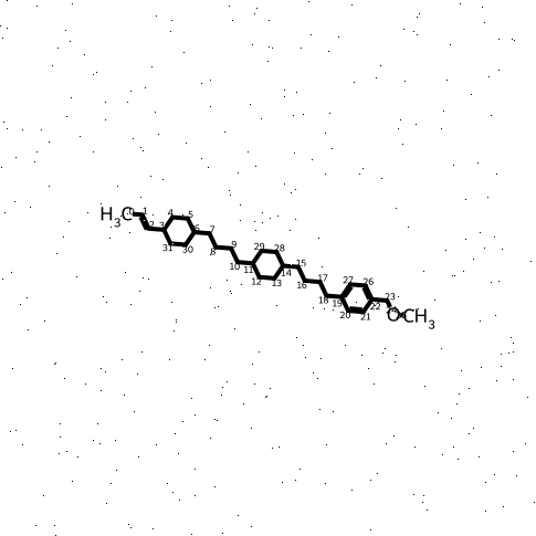 C/C=C/C1CCC(CCCCC2CCC(CCCCc3ccc(COC)cc3)CC2)CC1